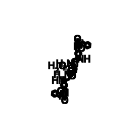 NC(Cc1c[nH]c2ccc(CN3CC(=O)N(Cc4ccccc4)C3=O)cc12)OC(=O)/C=C\C(=O)OC(N)Cc1c[nH]c2ccc(CN3CC(=O)N(Cc4ccccc4)C3=O)cc12.O